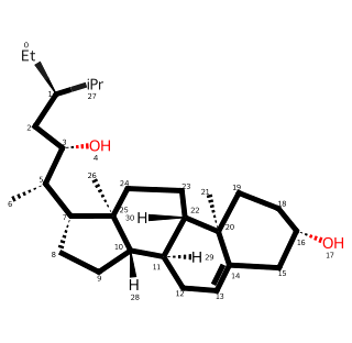 CC[C@H](C[C@H](O)[C@@H](C)[C@H]1CC[C@H]2[C@@H]3CC=C4C[C@@H](O)CC[C@]4(C)[C@H]3CC[C@]12C)C(C)C